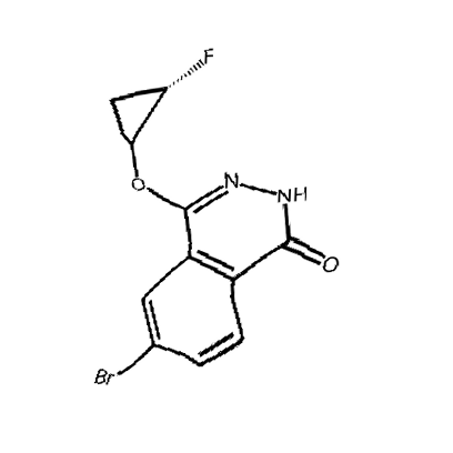 O=c1[nH]nc(OC2C[C@@H]2F)c2cc(Br)ccc12